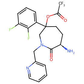 N[C@@H]1CCC(OC(=O)C(F)(F)F)(c2cccc(F)c2F)CN(Cc2ccccn2)C1=O